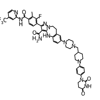 Cc1c(C(=O)Nc2cc(C(F)(F)F)ccn2)ccc(-c2nn3c(c2C(N)=O)Nc2ccc(N4CCN(CC5CCN(c6ccc(N7CCC(=O)NC7=O)cc6)CC5)CC4)cc2CC3)c1F